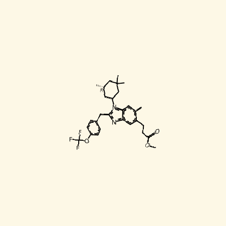 COC(=O)CCc1cc2nc(Cc3ccc(OC(F)(F)F)cc3)n(C3C[C@H](C)CC(C)(C)C3)c2cc1C